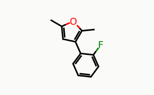 Cc1cc(-c2ccccc2F)c(C)o1